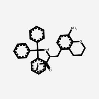 COC(=O)[C@H](Cc1ccc(N)c2c1CCCO2)NC(c1ccccc1)(c1ccccc1)c1ccccc1